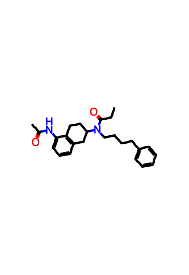 CCC(=O)N(CCCCc1ccccc1)C1CCc2c(cccc2NC(C)=O)C1